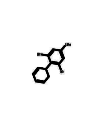 CC(C)(C)c1cc(Br)c(C2C=CC=CC2)c(Br)c1